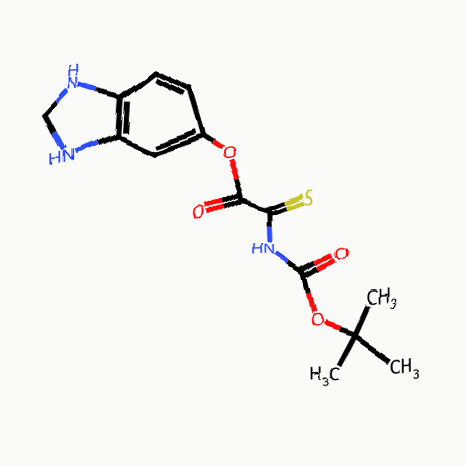 CC(C)(C)OC(=O)NC(=S)C(=O)Oc1ccc2c(c1)NCN2